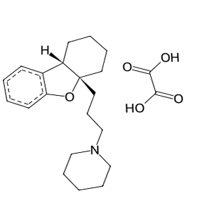 O=C(O)C(=O)O.c1ccc2c(c1)O[C@@]1(CCCN3CCCCC3)CCCC[C@@H]21